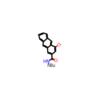 CCCCNC(=O)c1cc([O])c2cc3ccccc3cc2c1